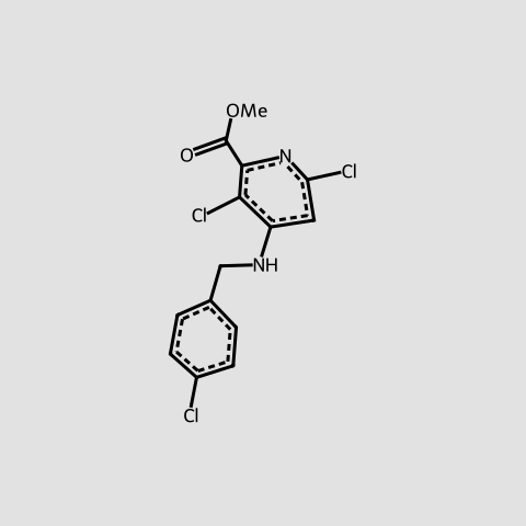 COC(=O)c1nc(Cl)cc(NCc2ccc(Cl)cc2)c1Cl